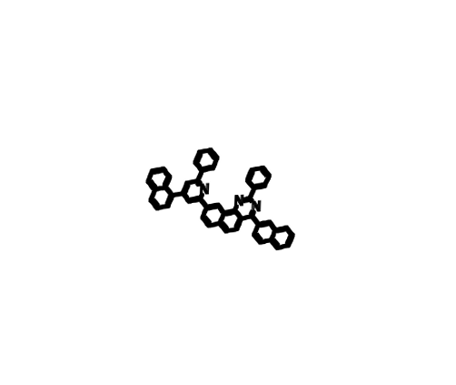 c1ccc(-c2cc(-c3cccc4ccccc34)cc(-c3ccc4ccc5c(-c6ccc7ccccc7c6)nc(-c6ccccc6)nc5c4c3)n2)cc1